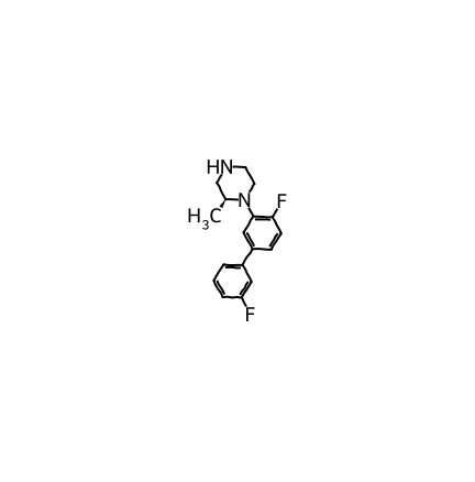 C[C@H]1CNCCN1c1cc(-c2cccc(F)c2)ccc1F